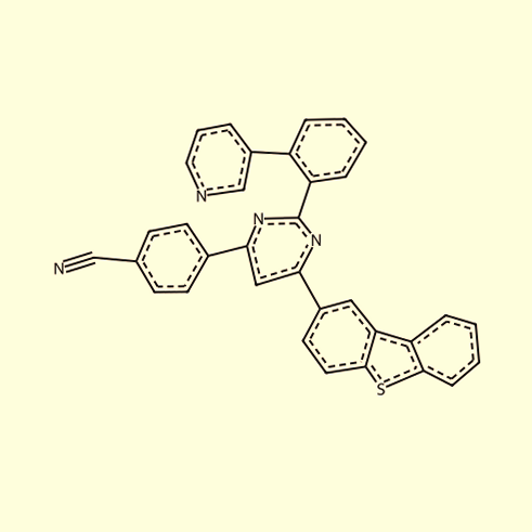 N#Cc1ccc(-c2cc(-c3ccc4sc5ccccc5c4c3)nc(-c3ccccc3-c3cccnc3)n2)cc1